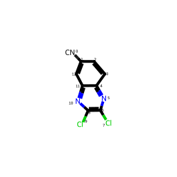 [C-]#[N+]c1ccc2nc(Cl)c(Cl)nc2c1